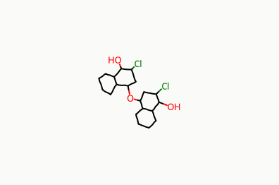 OC1C(Cl)CC(OC2CC(Cl)C(O)C3CCCCC23)C2CCCCC12